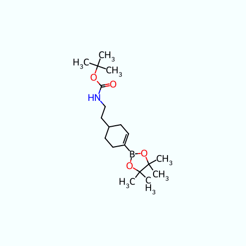 CC(C)(C)OC(=O)NCCC1CC=C(B2OC(C)(C)C(C)(C)O2)CC1